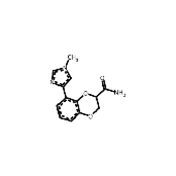 Cn1cnc(-c2cccc3c2OC(C(N)=O)CO3)c1